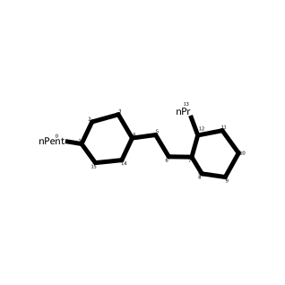 CCCCCC1CCC(CCC2[CH]CCCC2CCC)CC1